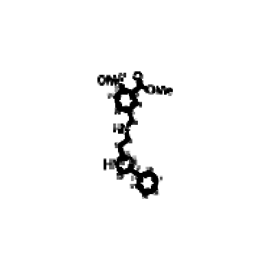 COC(=O)c1cc(CNCCc2nc(-c3ccccc3)c[nH]2)ccc1OC